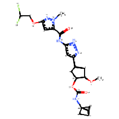 COC1CC(c2cc(NC(=O)c3cc(OCC(F)F)nn3C)[nH]n2)CC1OC(=O)NC12CC(C1)C2